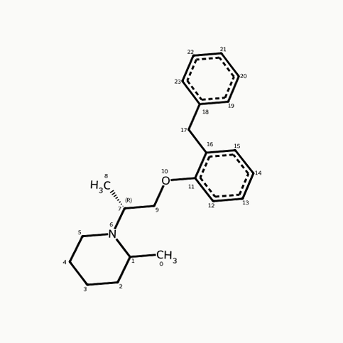 CC1CCCCN1[C@H](C)COc1ccccc1Cc1ccccc1